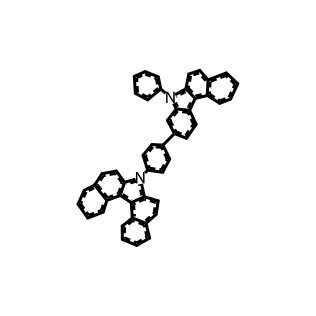 c1ccc(-n2c3cc(-c4ccc(-n5c6ccc7ccccc7c6c6c7ccccc7ccc65)cc4)ccc3c3c4ccccc4ccc32)cc1